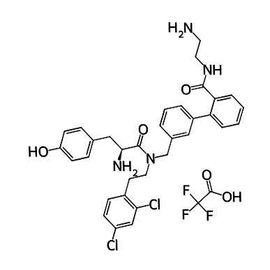 NCCNC(=O)c1ccccc1-c1cccc(CN(CCc2ccc(Cl)cc2Cl)C(=O)[C@@H](N)Cc2ccc(O)cc2)c1.O=C(O)C(F)(F)F